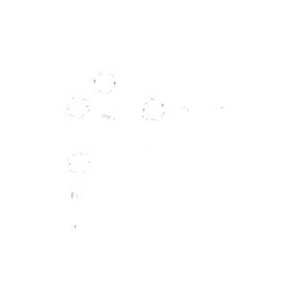 COc1nc(OCc2cccc(-c3cccc(COc4ccc(CNCCO)c(OC)n4)c3C#N)c2C)ccc1CNCCO